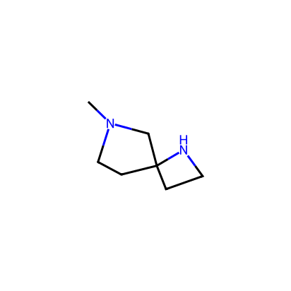 CN1CCC2(CCN2)C1